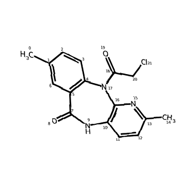 Cc1ccc2c(c1)C(=O)Nc1ccc(C)nc1N2C(=O)CCl